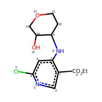 CCOC(=O)c1cnc(Cl)cc1NC1CCOCC1O